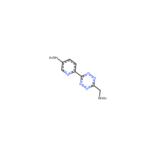 CC(=O)NCc1nnc(-c2ccc(NC(C)=O)cn2)nn1